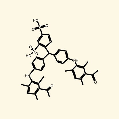 CC(=O)c1c(C)cc(C)c(Nc2ccc(C(c3ccc(Nc4c(C)cc(C)c(C(C)=O)c4C)cc3)c3ccc(S(=O)(=O)O)cc3S(=O)(=O)O)cc2)c1C